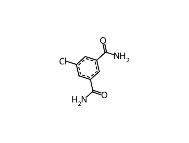 NC(=O)c1cc(Cl)cc(C(N)=O)c1